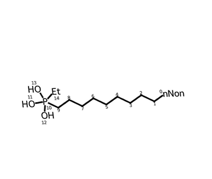 CCCCCCCCCCCCCCCCCCP(O)(O)(O)CC